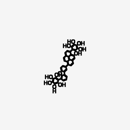 Oc1c(O)c(O)c(-c2ccc3ccc4c(-c5ccc6oc7c(-c8c(O)c(O)c(O)c(O)c8O)cccc7c6c5)ccc5ccc2c3c54)c(O)c1O